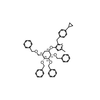 Cc1cc(O[C@@H]2C[C@H](COCc3ccccc3)[C@@H](OCc3ccccc3)[C@H](OCc3ccccc3)[C@H]2OCc2ccccc2)c(Cc2ccc(C3CC3)cc2)s1